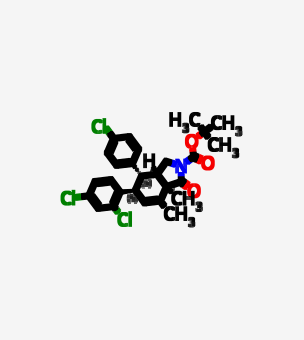 CC1=C[C@@H](c2ccc(Cl)cc2Cl)[C@H](c2ccc(Cl)cc2)[C@@H]2CN(C(=O)OC(C)(C)C)C(=O)[C@]12C